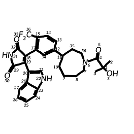 CC(C)(O)C(=O)N1CCCCC(c2ccc(C(F)(F)F)c(C3=C(c4c[nH]c5ccccc45)C(=O)NC3=O)c2)CC1